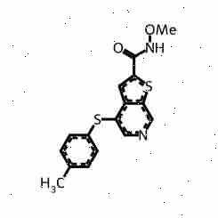 CONC(=O)c1cc2c(Sc3ccc(C)cc3)cncc2s1